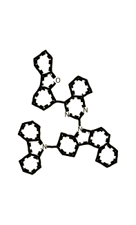 c1ccc2c(c1)ccc1c2c2ccc(-n3c4ccccc4c4ccccc43)cc2n1-c1nc(-c2cccc3c2oc2ccccc23)c2ccccc2n1